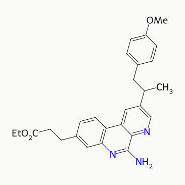 CCOC(=O)CCc1ccc2c(c1)nc(N)c1ncc(C(C)Cc3ccc(OC)cc3)cc12